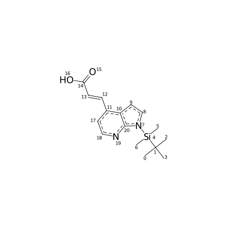 CC(C)(C)[Si](C)(C)n1ccc2c(C=CC(=O)O)ccnc21